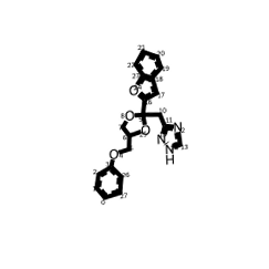 c1ccc(OCC2COC(Cc3nc[nH]n3)(c3cc4ccccc4o3)O2)cc1